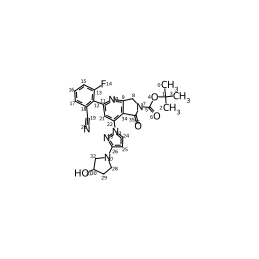 CC(C)(C)OC(=O)N1Cc2nc(-c3c(F)cccc3C#N)cc(-n3ccc(N4CCC(O)C4)n3)c2C1=O